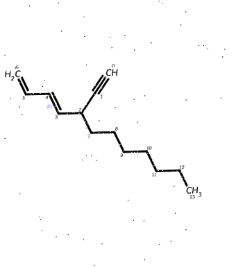 C#CC(/C=C/C=C)CCCCCCC